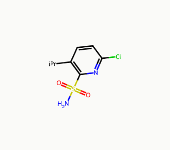 CC(C)c1ccc(Cl)nc1S(N)(=O)=O